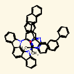 CC1(C)C2=C(n3c4ccccc4c4ccc5c6ccccc6n(-c6nc(-c7ccccc7)nc(-c7cccc(-c8ccccc8)c7)n6)c5c43)C=C(c3ccc4ccccc4c3)CC2c2ccccc21